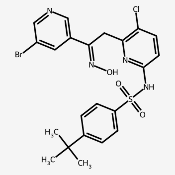 CC(C)(C)c1ccc(S(=O)(=O)Nc2ccc(Cl)c(C/C(=N\O)c3cncc(Br)c3)n2)cc1